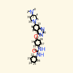 CN(C)C1CCN(c2ccc3c(Oc4ccc(NC(=O)Nc5ccccc5)cc4)ncnc3c2)CC1